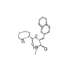 CNC(=O)[C@H](Cc1ccc2ccccc2c1)NC(=O)[C@@H]1CCCCN1